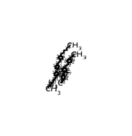 CCCCCCCc1ccc(CCc2ccc(-c3ccc(CCCCCCC)cc3F)cc2)cc1.CCCc1ccc(CCc2ccc(-c3ccc(CC)cc3)c(F)c2)cc1